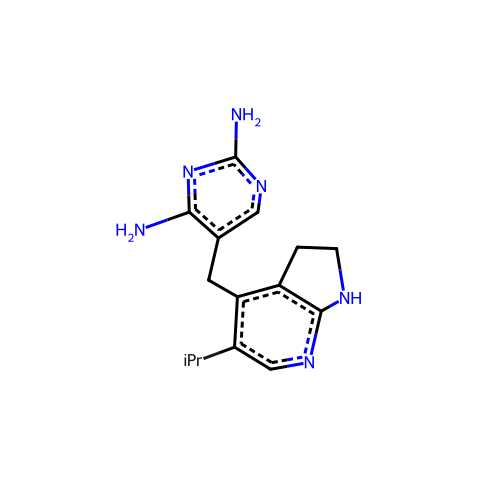 CC(C)c1cnc2c(c1Cc1cnc(N)nc1N)CCN2